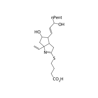 C=CC12CC(O)C(/C=C/C(O)CCCCC)C1CC(SCCCC(=O)O)=N2